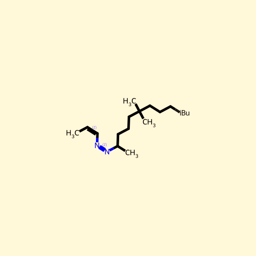 C/C=C\N=N/C(C)CCCC(C)(C)CCCC(C)CC